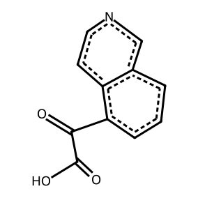 O=C(O)C(=O)c1cccc2cnccc12